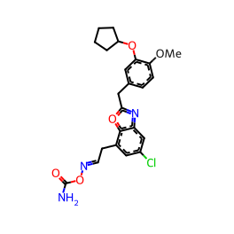 COc1ccc(Cc2nc3cc(Cl)cc(CC=NOC(N)=O)c3o2)cc1OC1CCCC1